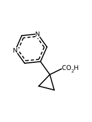 O=C(O)C1(c2cncnc2)CC1